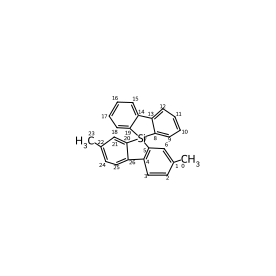 Cc1ccc2c(c1)[Si]1(c3ccccc3-c3ccccc31)c1cc(C)ccc1-2